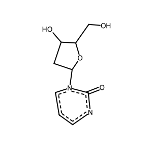 O=c1ncccn1C1CC(O)C(CO)O1